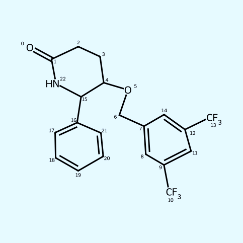 O=C1CCC(OCc2cc(C(F)(F)F)cc(C(F)(F)F)c2)C(c2ccccc2)N1